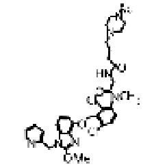 COc1nc2c(OCc3c(Cl)ccc(N(C)C(=O)CNC(=O)CCCN4CCN(C(C)=O)CC4)c3Cl)cccc2n1Cc1ccccn1